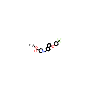 CCOC(=O)C1CCN(Cc2ccc3c(OC4CCC(C(F)(F)F)CC4)cccc3c2)CC1